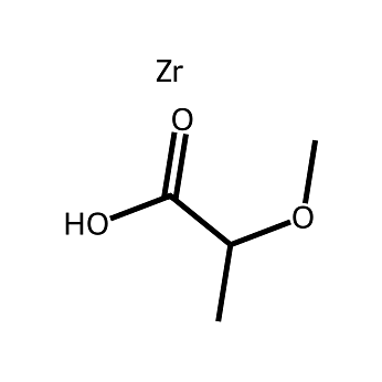 COC(C)C(=O)O.[Zr]